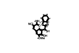 COc1cc(C=C(C#N)C(N)=O)cc(C(S)c2nc3ccccc3s2)c1O